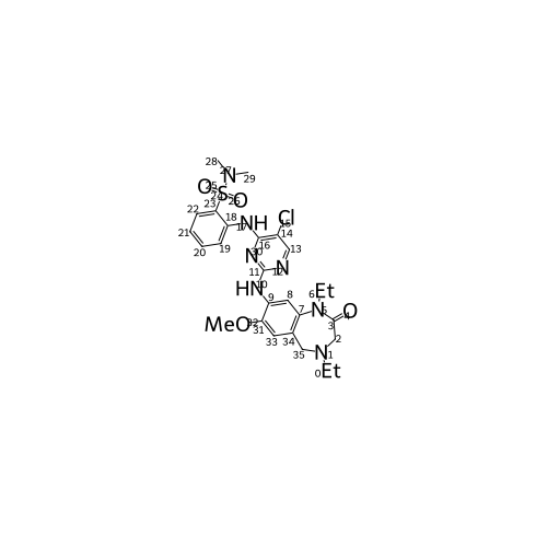 CCN1CC(=O)N(CC)c2cc(Nc3ncc(Cl)c(Nc4ccccc4S(=O)(=O)N(C)C)n3)c(OC)cc2C1